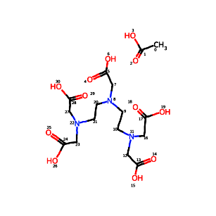 CC(=O)O.O=C(O)CN(CCN(CC(=O)O)CC(=O)O)CCN(CC(=O)O)CC(=O)O